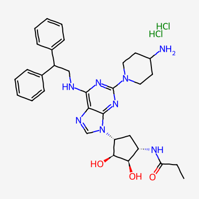 CCC(=O)N[C@H]1C[C@@H](n2cnc3c(NCC(c4ccccc4)c4ccccc4)nc(N4CCC(N)CC4)nc32)[C@H](O)[C@@H]1O.Cl.Cl